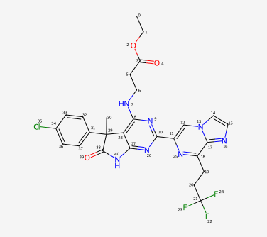 CCOC(=O)CCNc1nc(-c2cn3ccnc3c(CCC(F)(F)F)n2)nc2c1C(C)(c1ccc(Cl)cc1)C(=O)N2